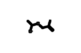 C=C(C)COC(C)[O]